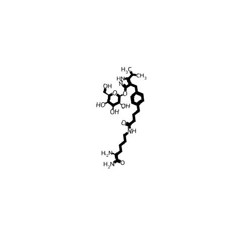 CC(C)c1[nH]nc(O[C@@H]2O[C@H](CO)[C@H](O)[C@H](O)[C@H]2O)c1Cc1ccc(CCCC(=O)NCCCC[C@H](N)C(N)=O)cc1